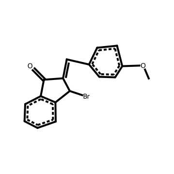 COc1ccc(/C=C2/C(=O)c3ccccc3C2Br)cc1